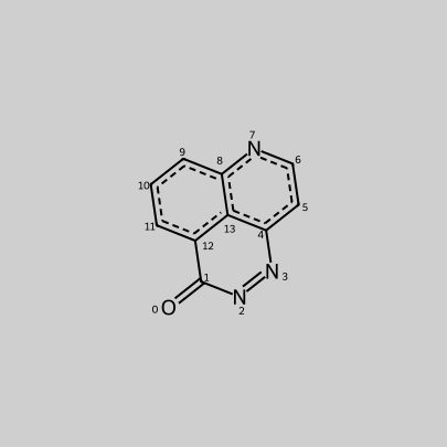 O=C1N=Nc2ccnc3cccc1c23